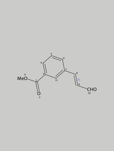 COC(=O)c1cccc(/C=C/C=O)c1